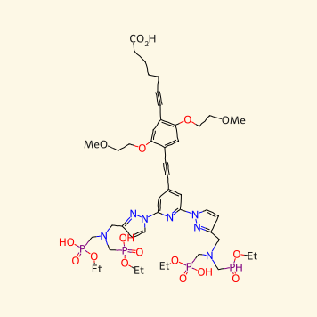 CCO[PH](=O)CN(Cc1ccn(-c2cc(C#Cc3cc(OCCOC)c(C#CCCCCC(=O)O)cc3OCCOC)cc(-n3ccc(CN(CP(=O)(O)OCC)CP(=O)(O)OCC)n3)n2)n1)CP(=O)(O)OCC